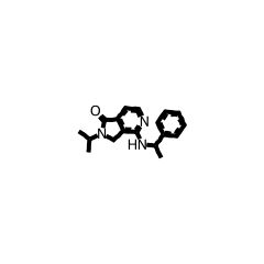 CC(Nc1nccc2c1CN(C(C)C)C2=O)c1ccccc1